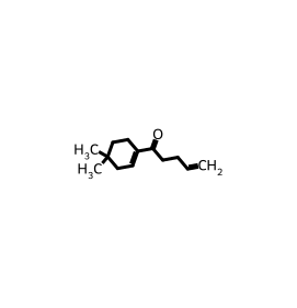 C=CCCC(=O)C1=CCC(C)(C)CC1